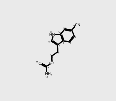 N#Cc1ccc2c(CCOC(N)=O)c[nH]c2c1